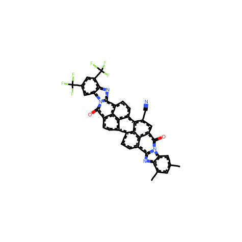 Cc1cc(C)c2nc3c4ccc5c6ccc7c(=O)n8c9cc(C(F)(F)F)cc(C(F)(F)F)c9nc8c8ccc(c9c(C#N)cc(c(=O)n3c2c1)c4c59)c6c78